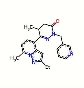 CCc1cc2c(C3=NN(Cc4cccnc4)C(=O)CC3C)ccc(C)n2n1